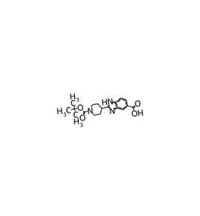 CC(C)(C)OC(=O)N1CCC(c2nc3cc(C(=O)O)ccc3[nH]2)CC1